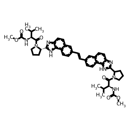 COC(=O)N[C@H](C(=O)N1CCCC1c1nc2ccc3cc(C=Cc4ccc5c(ccc6nc([C@@H]7CCCN7C(=O)[C@@H](NC(=O)OC)C(C)C)[nH]c65)c4)ccc3c2[nH]1)C(C)C